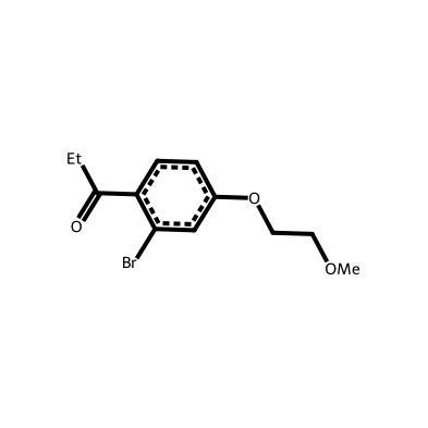 CCC(=O)c1ccc(OCCOC)cc1Br